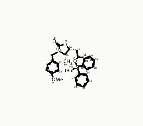 COc1ccc(CN2C(=O)O[C@H](CC(C)O[Si](c3ccccc3)(c3ccccc3)C(C)(C)C)[C@@H]2C)cc1